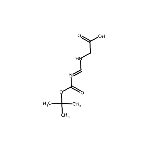 CC(C)(C)OC(=O)N=CNCC(=O)O